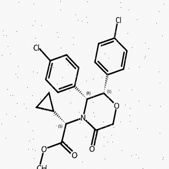 COC(=O)[C@H](C1CC1)N1C(=O)CO[C@@H](c2ccc(Cl)cc2)[C@H]1c1ccc(Cl)cc1